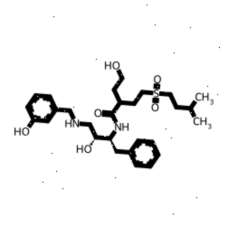 CC(C)CCS(=O)(=O)CCC(CCO)C(=O)N[C@@H](Cc1ccccc1)[C@H](O)CNCc1cccc(O)c1